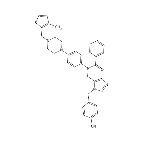 Cc1ccsc1CN1CCN(c2ccc(N(Cc3cncn3Cc3ccc(C#N)cc3)C(=O)c3ccccc3)cc2)CC1